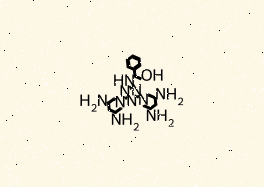 N[C@@H]1C[C@H](N)CN(c2nc(NC(CO)c3ccccc3)nc(N3C[C@H](N)C[C@H](N)C3)n2)C1